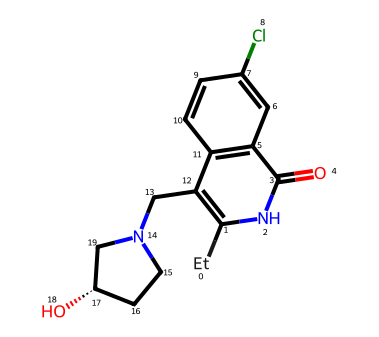 CCc1[nH]c(=O)c2cc(Cl)ccc2c1CN1CC[C@H](O)C1